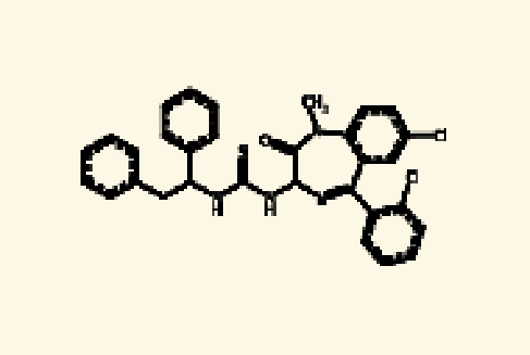 CN1C(=O)C(NC(=S)NC(Cc2ccccc2)c2ccccc2)N=C(c2ccccc2Cl)c2cc(Cl)ccc21